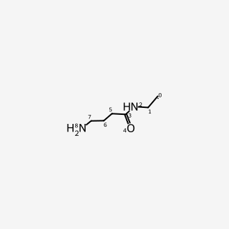 [CH2]CNC(=O)CCCN